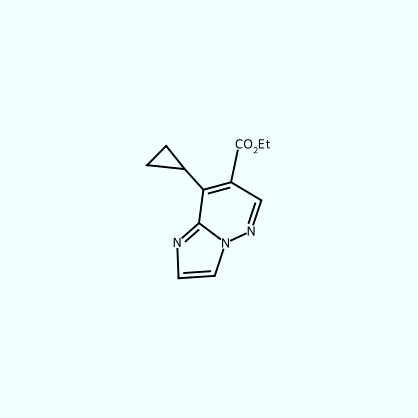 CCOC(=O)c1cnn2ccnc2c1C1CC1